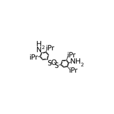 CC(C)c1cc(SOSc2cc(C(C)C)c(N)c(C(C)C)c2)cc(C(C)C)c1N